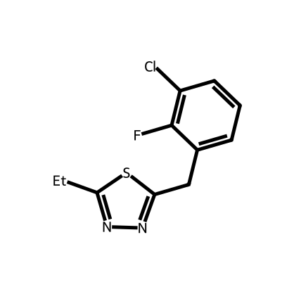 CCc1nnc(Cc2cccc(Cl)c2F)s1